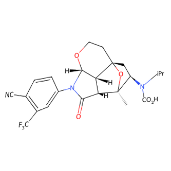 CC(C)N(C(=O)O)[C@@H]1C[C@]23CCO[C@@H]4[C@H]2[C@@H](C(=O)N4c2ccc(C#N)c(C(F)(F)F)c2)[C@@]1(C)O3